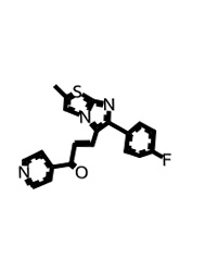 Cc1cn2c(C=CC(=O)c3ccncc3)c(-c3ccc(F)cc3)nc2s1